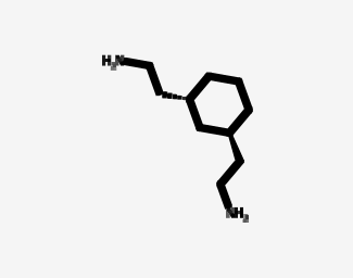 NCC[C@@H]1CCC[C@@H](CCN)C1